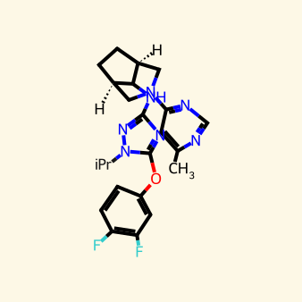 Cc1cc(N2C[C@H]3CC[C@@H](C2)C3Nc2nc(Oc3ccc(F)c(F)c3)n(C(C)C)n2)ncn1